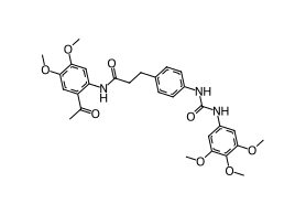 COc1cc(NC(=O)CCc2ccc(NC(=O)Nc3cc(OC)c(OC)c(OC)c3)cc2)c(C(C)=O)cc1OC